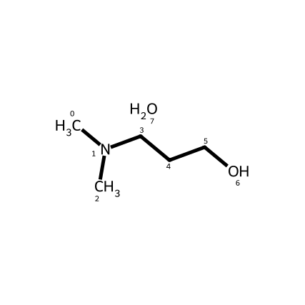 CN(C)CCCO.O